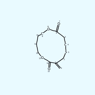 C=C1CSCCC(=O)OCCCCOC1=O